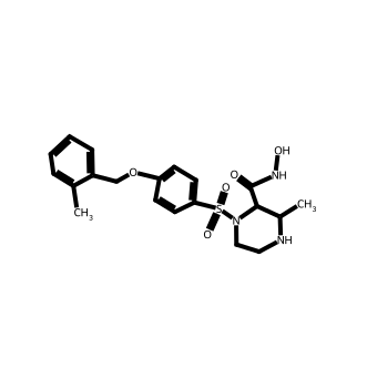 Cc1ccccc1COc1ccc(S(=O)(=O)N2CCNC(C)C2C(=O)NO)cc1